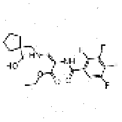 CCOC(=O)C(=CNCC1(CO)CCCC1)NC(=O)c1cc(F)c(F)c(F)c1F